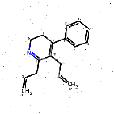 C=CCC1=NCCC(c2ccccc2)=C1CC=C